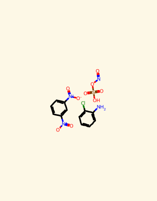 Nc1ccccc1Cl.O=NOS(=O)(=O)O.O=[N+]([O-])c1cccc([N+](=O)[O-])c1